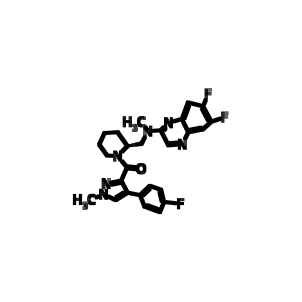 CN(C[C@@H]1CCCCN1C(=O)c1nn(C)cc1-c1ccc(F)cc1)c1cnc2cc(F)c(F)cc2n1